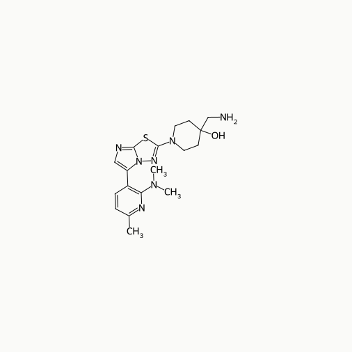 Cc1ccc(-c2cnc3sc(N4CCC(O)(CN)CC4)nn23)c(N(C)C)n1